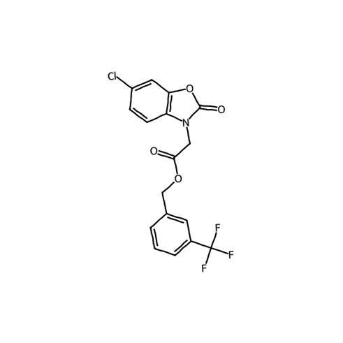 O=C(Cn1c(=O)oc2cc(Cl)ccc21)OCc1cccc(C(F)(F)F)c1